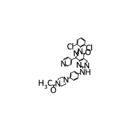 CC(=O)N1CCN(c2ccc(Nc3ncc4c(=O)n(-c5c(Cl)cccc5Cl)nc(-c5ccncc5)c4n3)cc2)CC1